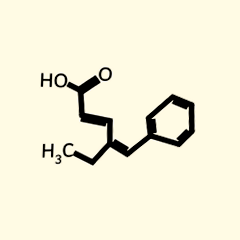 CCC(C=CC(=O)O)=Cc1ccccc1